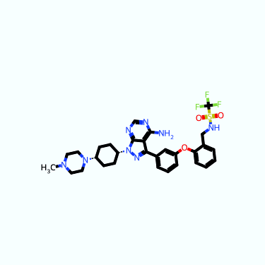 CN1CCN([C@H]2CC[C@@H](n3nc(-c4cccc(Oc5ccccc5CNS(=O)(=O)C(F)(F)F)c4)c4c(N)ncnc43)CC2)CC1